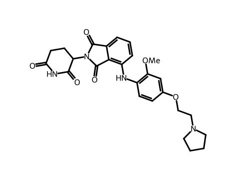 COc1cc(OCCN2CCCC2)ccc1Nc1cccc2c1C(=O)N(C1CCC(=O)NC1=O)C2=O